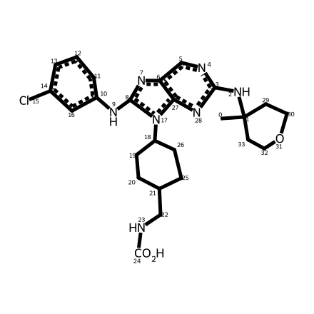 CC1(Nc2ncc3nc(Nc4cccc(Cl)c4)n(C4CCC(CNC(=O)O)CC4)c3n2)CCOCC1